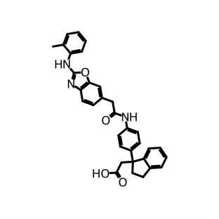 Cc1ccccc1Nc1nc2ccc(CC(=O)Nc3ccc(C4(CC(=O)O)CCc5ccccc54)cc3)cc2o1